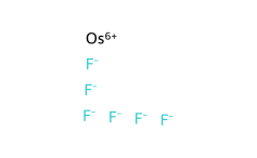 [F-].[F-].[F-].[F-].[F-].[F-].[Os+6]